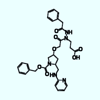 O=C(O)CCN(NC(=O)Cc1ccccc1)C(=O)COC1CC(CNc2ccccn2)N(C(=O)OCc2ccccc2)C1